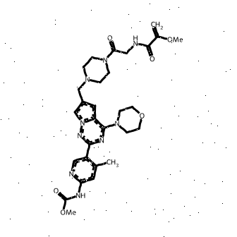 C=C(OC)C(=O)NCC(=O)N1CCN(Cc2cc3c(N4CCOCC4)nc(-c4cnc(NC(=O)OC)cc4C)nn3c2)CC1